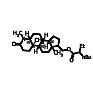 CCCCC(CC)C(=O)OCC1CC[C@H]2[C@@H]3CC[C@H]4N(C)C(=O)CC[C@]4(C)[C@H]3CC[C@]12C